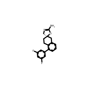 NC1=NC[C@]2(CCc3c(cccc3-c3cc(F)cc(F)c3)C2)O1